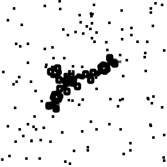 O=C(OCC[C@H]1C(=O)N2C(C(=O)Oc3ccc([N+](=O)[O-])cc3)=C(OC3COCOC3)S[C@@H]12)OCc1ccc([N+](=O)[O-])cc1